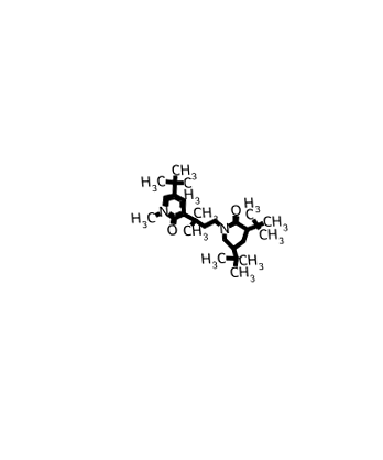 Cn1cc(C(C)(C)C)cc(C(C)(C)CCN2CC(C(C)(C)C)CC(C(C)(C)C)C2=O)c1=O